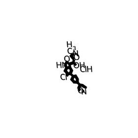 Cc1cc(C(O)=C2C(=O)Nc3cc(Cl)c(-c4ccc(-c5ccncc5)cc4)cc32)on1.Cl